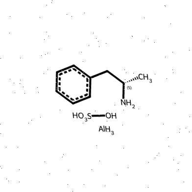 C[C@H](N)Cc1ccccc1.O=S(=O)(O)O.[AlH3]